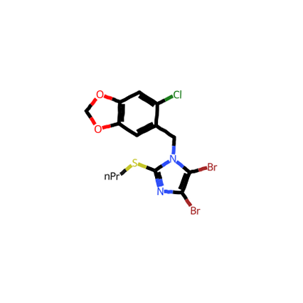 CCCSc1nc(Br)c(Br)n1Cc1cc2c(cc1Cl)OCO2